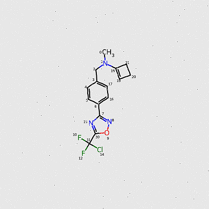 CN(Cc1ccc(-c2noc(C(F)(F)Cl)n2)cc1)C1=CCC1